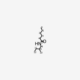 CCCCCC(=O)NCC(C)CC